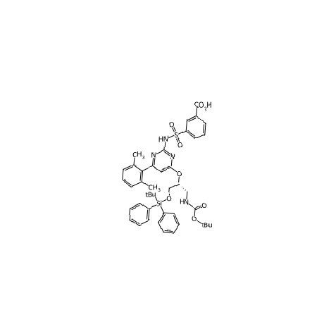 Cc1cccc(C)c1-c1cc(O[C@H](CNC(=O)OC(C)(C)C)CO[Si](c2ccccc2)(c2ccccc2)C(C)(C)C)nc(NS(=O)(=O)c2cccc(C(=O)O)c2)n1